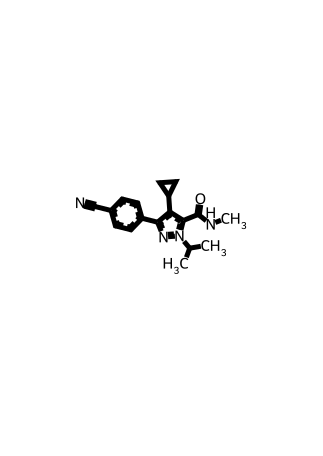 CNC(=O)c1c(C2CC2)c(-c2ccc(C#N)cc2)nn1C(C)C